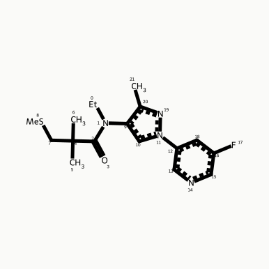 CCN(C(=O)C(C)(C)CSC)c1cn(-c2cncc(F)c2)nc1C